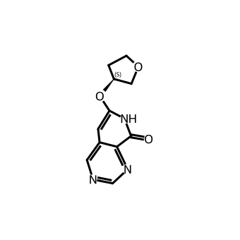 O=c1[nH]c(O[C@H]2CCOC2)cc2cncnc12